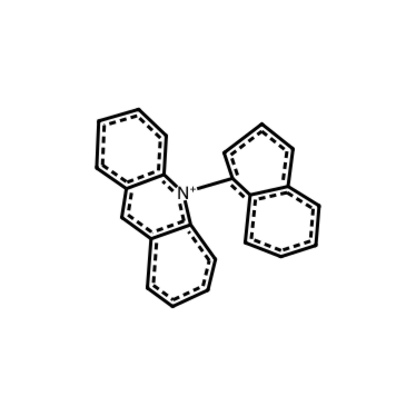 c1ccc2c(-[n+]3c4ccccc4cc4ccccc43)cccc2c1